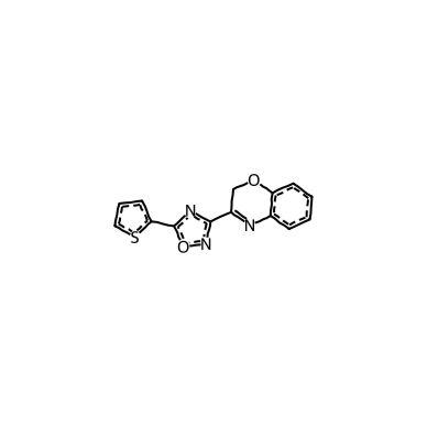 c1csc(-c2nc(C3=Nc4ccccc4OC3)no2)c1